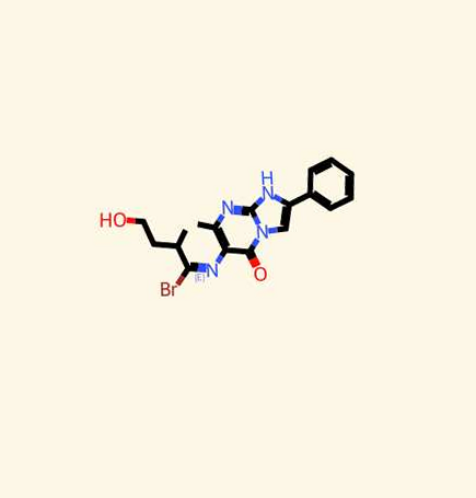 Cc1nc2[nH]c(-c3ccccc3)cn2c(=O)c1/N=C(/Br)C(C)CCO